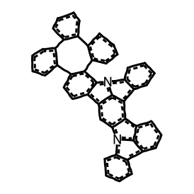 c1ccc2c(c1)-c1ccccc1-c1ccc3c4cc5c(c6cccc7c8ccccc8n5c76)c5c6ccccc6n(c3c1-c1ccccc1-2)c45